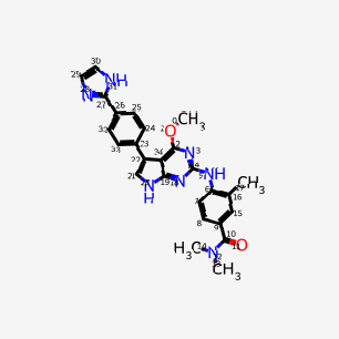 COc1nc(Nc2ccc(C(=O)N(C)C)cc2C)nc2[nH]cc(-c3ccc(-c4ncc[nH]4)cc3)c12